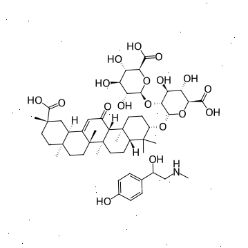 CC1(C)[C@@H](O[C@H]2O[C@H](C(=O)O)[C@@H](O)[C@H](O)[C@H]2O[C@@H]2O[C@H](C(=O)O)[C@@H](O)[C@H](O)[C@H]2O)CC[C@]2(C)[C@H]3C(=O)C=C4[C@@H]5C[C@@](C)(C(=O)O)CC[C@]5(C)CC[C@@]4(C)[C@]3(C)CC[C@@H]12.CNCC(O)c1ccc(O)cc1